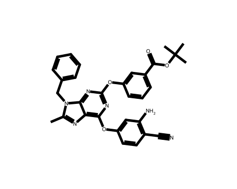 Cc1nc2c(Oc3ccc(C#N)c(N)c3)nc(Oc3cccc(C(=O)OC(C)(C)C)c3)nc2n1Cc1ccccc1